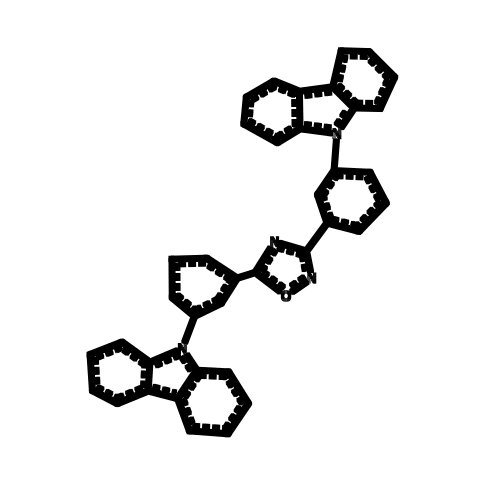 c1cc(-c2noc(-c3cccc(-n4c5ccccc5c5ccccc54)c3)n2)cc(-n2c3ccccc3c3ccccc32)c1